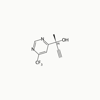 C#C[C@@](C)(O)c1cc(C(F)(F)F)ncn1